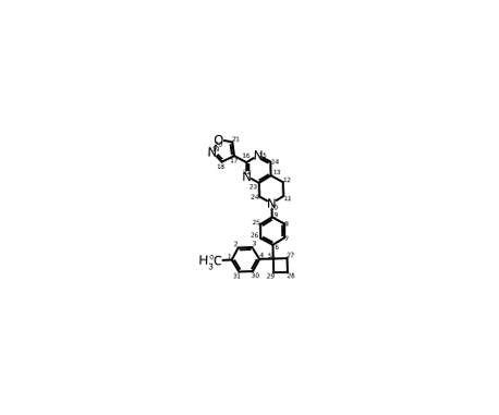 Cc1ccc(C2(c3ccc(N4CCc5cnc(-c6cnoc6)nc5C4)cc3)CCC2)cc1